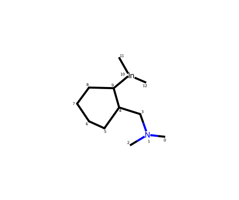 CN(C)CC1CCCC[CH]1[In]([CH3])[CH3]